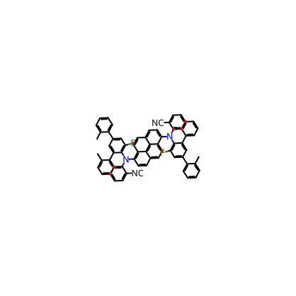 [C-]#[N+]c1ccccc1N(c1c(F)cc(-c2ccccc2C)cc1-c1ccccc1C)c1ccc2ccc3c(N(c4ccccc4C#N)c4c(F)cc(-c5ccccc5C)cc4-c4ccccc4C)ccc4ccc1c2c43